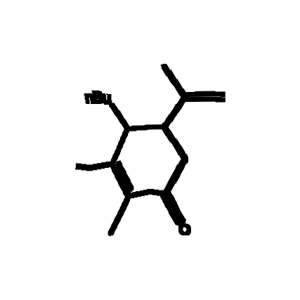 C=C(C)C1CC(=O)C(C)=C(C)C1CCCC